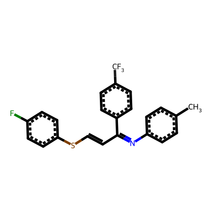 Cc1ccc(N=C(C=CSc2ccc(F)cc2)c2ccc(C(F)(F)F)cc2)cc1